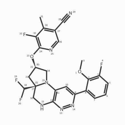 COc1c(F)cccc1-c1cc2c(nn1)NC[C@]1(C(F)F)C[C@@H](Oc3ncc(C#N)c(C)c3F)CN21